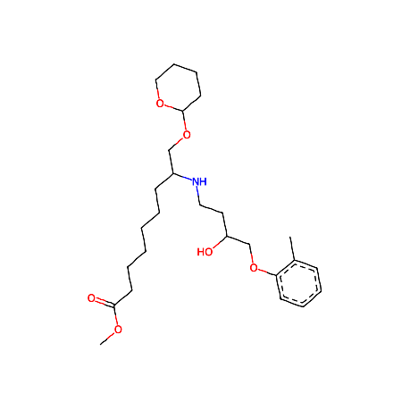 COC(=O)CCCCCCC(COC1CCCCO1)NCCC(O)COc1ccccc1C